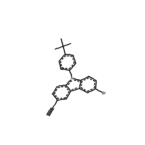 C#Cc1ccc2c(c1)c1cc(Br)ccc1n2-c1ccc(C(C)(C)C)cc1